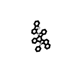 c1ccc(-n2c3c4ccccc4ccc3c3c4c5ccccc5n(-c5cccc6c5oc5ccccc56)c4c4ccccc4c32)cc1